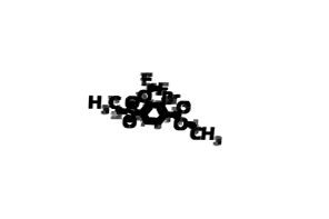 CCOC(=O)c1ccc(S(=O)(=O)CC)c(OC(F)F)c1Br